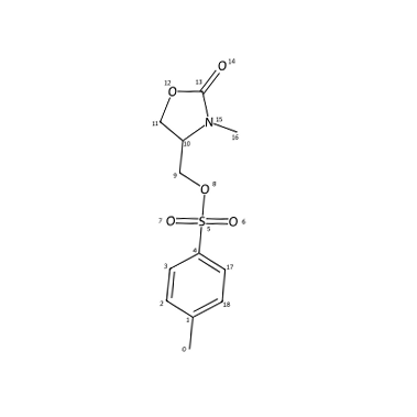 Cc1ccc(S(=O)(=O)OCC2COC(=O)N2C)cc1